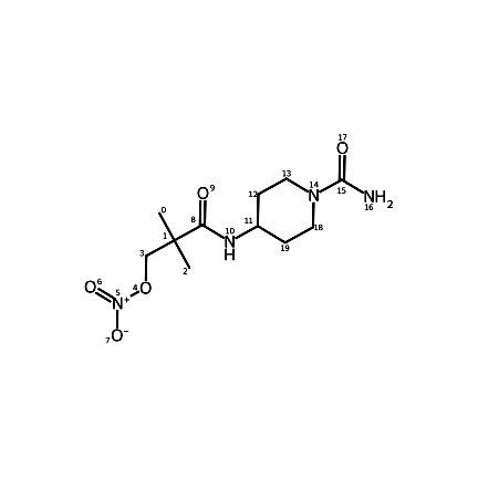 CC(C)(CO[N+](=O)[O-])C(=O)NC1CCN(C(N)=O)CC1